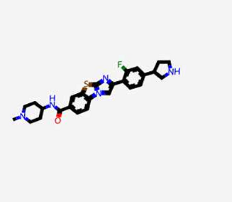 CN1CCC(NC(=O)c2ccc3c(c2)sc2nc(-c4ccc(C5CCNC5)cc4F)cn23)CC1